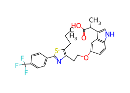 CCCc1sc(-c2ccc(C(F)(F)F)cc2)nc1CCOc1ccc2[nH]cc(C(C)C(=O)O)c2c1